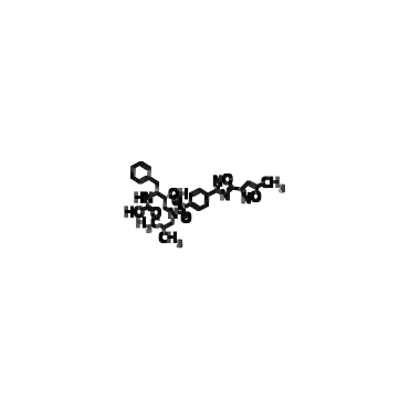 Cc1cc(-c2nc(-c3ccc(S(=O)(=O)N(CC(C)C)C[C@@H](O)[C@H](Cc4ccccc4)NC(=O)O)cc3)no2)no1